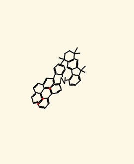 CC1(C)CCC(C)(C)c2cc3c(cc21)-c1c(N(c2ccc(-c4ccccc4)cc2)c2ccccc2-c2ccc4c(ccc5ccccc54)c2)cccc1C3(C)C